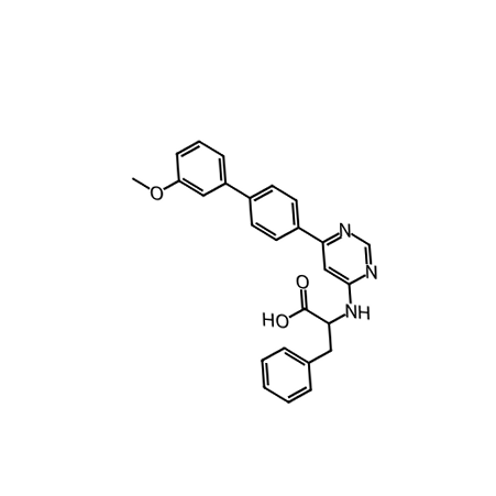 COc1cccc(-c2ccc(-c3cc(NC(Cc4ccccc4)C(=O)O)ncn3)cc2)c1